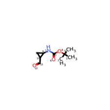 CC(C)(C)OC(=O)NC1CC1C=O